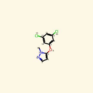 Cn1n[c]cc1Oc1cc(Cl)cc(Cl)c1